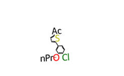 CCCOc1cc(-c2ccc(C(C)=O)s2)ccc1Cl